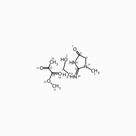 CCO.CN1CC(=O)NC1=N.COC(=O)C(C)=O